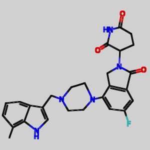 Cc1cccc2c(CN3CCN(c4cc(F)cc5c4CN(C4CCC(=O)NC4=O)C5=O)CC3)c[nH]c12